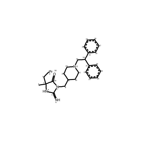 CC(C)CC1(C)NC(=N)N(CC2CCN(CC(c3ccccc3)c3ccccc3)CC2)C1=O